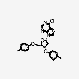 Cc1ccc(OC[C@H]2O[C@H](n3cnc4c(Cl)ncnc43)C[C@@H]2Oc2ccc(C)cc2)cc1